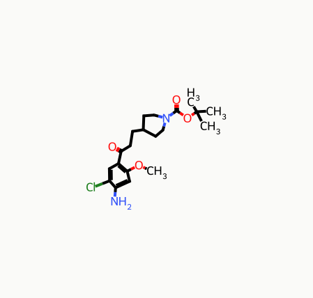 COc1cc(N)c(Cl)cc1C(=O)CCC1CCN(C(=O)OC(C)(C)C)CC1